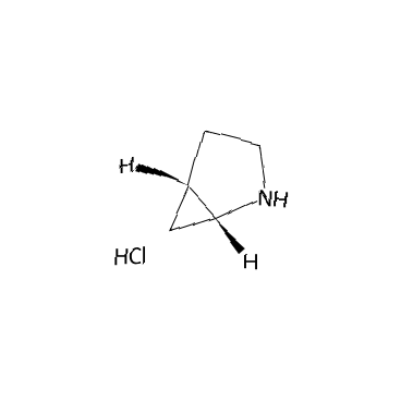 C1C[C@H]2C[C@H]2N1.Cl